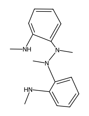 CNc1ccccc1N(C)N(C)c1ccccc1NC